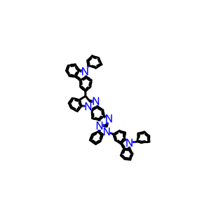 c1ccc(-n2c3ccccc3c3cc(C4c5ccccc5-n5c4nc4cc6nc7n(-c8ccc9c(c8)c8ccccc8n9-c8ccccc8)c8ccccc8n7c6cc45)ccc32)cc1